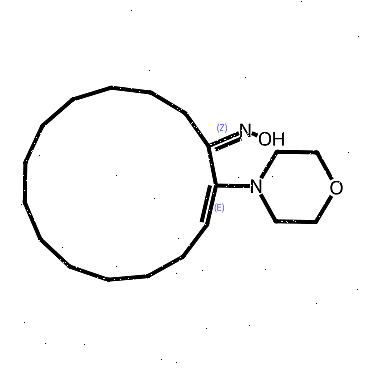 O/N=C1CCCCCCCCCCCC\C=C/1N1CCOCC1